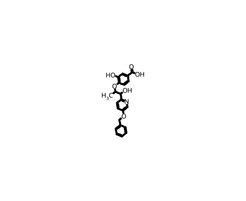 CC(Oc1ccc(C(=O)O)cc1O)C(O)c1ccc(OCc2ccccc2)cn1